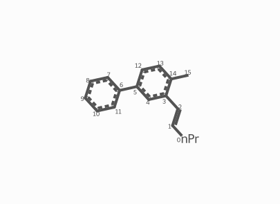 CCCC=Cc1cc(-c2ccccc2)ccc1C